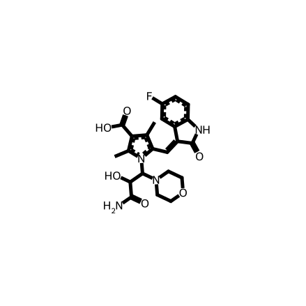 Cc1c(C(=O)O)c(C)n(C(C(O)C(N)=O)N2CCOCC2)c1C=C1C(=O)Nc2ccc(F)cc21